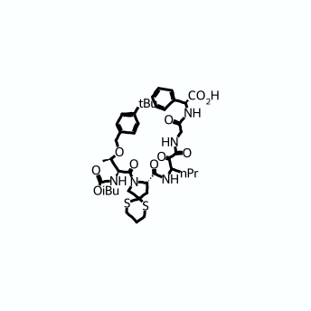 CCCC(NC(=O)[C@@H]1CC2(CN1C(=O)[C@@H](NC(=O)OCC(C)C)[C@@H](C)OCc1ccc(C(C)(C)C)cc1)SCCCS2)C(=O)C(=O)NCC(=O)N[C@H](C(=O)O)c1ccccc1